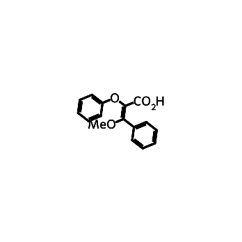 COC(=C(Oc1ccccc1)C(=O)O)c1ccccc1